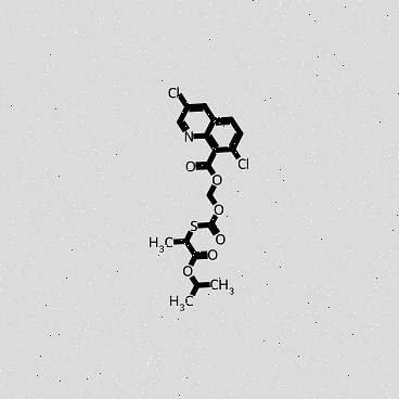 CC(C)OC(=O)C(C)SC(=O)OCOC(=O)c1c(Cl)ccc2cc(Cl)cnc12